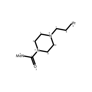 CNC(=O)N1CCN(CCC(C)C)CC1